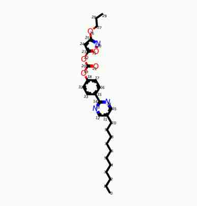 CCCCCCCCCCCc1cnc(-c2ccc(OC(=O)Oc3cc(OCCC)no3)cc2)nc1